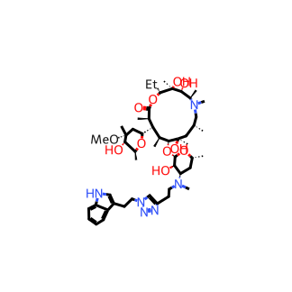 CC[C@H]1OC(=O)[C@H](C)[C@@H](C2C[C@@](C)(OC)[C@@H](O)[C@H](C)O2)[C@H](C)[C@@H](O[C@@H]2O[C@H](C)C[C@H](N(C)CCc3cn(CCc4c[nH]c5ccccc45)nn3)[C@H]2O)[C@](C)(O)C[C@@H](C)CN(C)[C@H](C)[C@@H](O)[C@]1(C)O